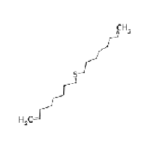 C=CCCCCCCSCCCCCCC=C